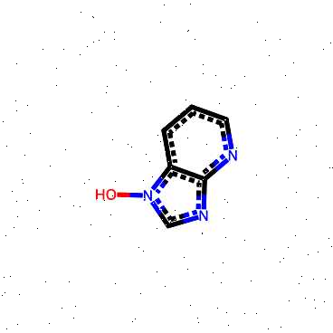 On1cnc2ncccc21